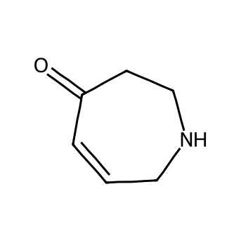 O=C1C=CCNCC1